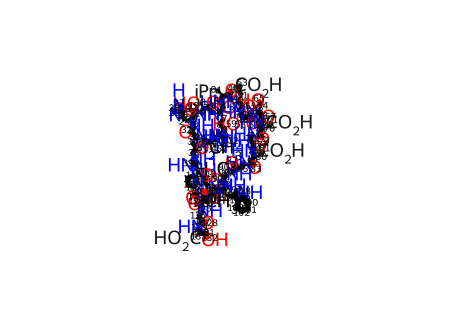 CC(C)C[C@H](NC(=O)[C@H](CCCNC(=N)N)NC(=O)[C@H](CO)NC(=O)[C@H](Cc1c[nH]cn1)NC(=O)[C@H](CCCNC(=N)N)NC(=O)[C@H](C)N)C(=O)N[C@@H](CCC(=O)O)C(=O)N[C@@H](CO)C(=O)N[C@@H](CO)C(=O)N[C@@H](CC(=O)O)C(=O)NCC(=O)N[C@@H](CC(=O)O)C(=O)NCC(=O)N[C@@H](C)C(=O)N[C@@H](Cc1c[nH]c2ccccc12)C(=O)N[C@@H](CS)C(=O)N1CCC[C@H]1C(=O)N[C@@H](C)C(=O)NCC(=O)N[C@@H](CO)C(=O)O